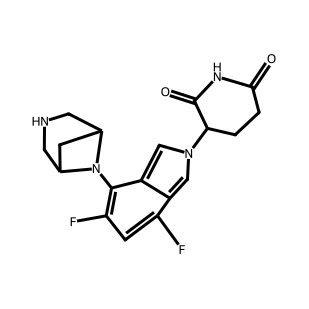 O=C1CCC(n2cc3c(F)cc(F)c(N4C5CNCC4C5)c3c2)C(=O)N1